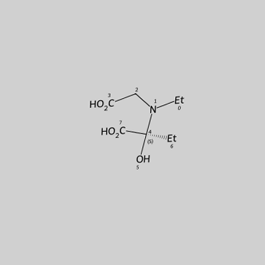 CCN(CC(=O)O)[C@](O)(CC)C(=O)O